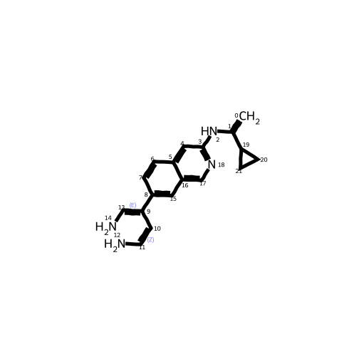 C=C(Nc1cc2ccc(C(/C=C\N)=C/N)cc2cn1)C1CC1